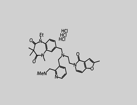 CCN1C(=O)C(C)(C)C(=O)N(C)c2cc(CN(CCn3ccc4oc(C)cc4c3=O)Cc3cccnc3CNC)ccc21.Cl.Cl.Cl